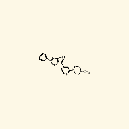 CN1CCN(c2cc(-c3c[nH]c4nc(-c5ccccc5)ccc34)ccn2)CC1